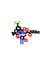 CNC(=O)C(=O)[C@H](C[C@@H]1C[C@@H](C)NC1=O)NC(=O)c1cc(C(F)F)ccc1NC(=O)C1(C(F)(F)F)CC1